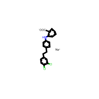 O=C([O-])c1ccccc1Nc1ccc(CCc2ccc(Cl)c(Cl)c2)cc1.[Na+]